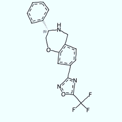 FC(F)(F)c1nc(-c2ccc3c(c2)OC[C@H](c2ccccc2)NC3)no1